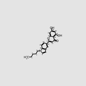 CCCCCn1ccc2cc(-c3cc(=O)c4c(O)cc(O)cc4o3)ccc21